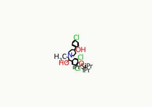 CC(C)[Si](Oc1c(Cl)cc([C@@H](O)[C@@H](C)N2CCC(O)(c3ccc(Cl)cc3)CC2)cc1Cl)(C(C)C)C(C)C